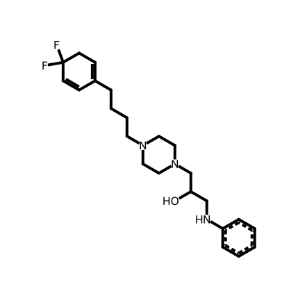 OC(CNc1ccccc1)CN1CCN(CCCCC2=CCC(F)(F)C=C2)CC1